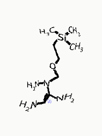 C[Si](C)(C)CCOCN(N)/C(N)=C\N